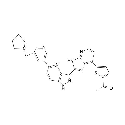 CC(=O)c1ccc(-c2ccnc3[nH]c(-c4n[nH]c5ccc(-c6cncc(CN7CCCC7)c6)nc45)cc23)s1